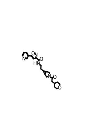 O=C(NCCC1C2CN(C(=O)CC3CCOCC3)CC12)c1cc(-c2cccnc2)on1